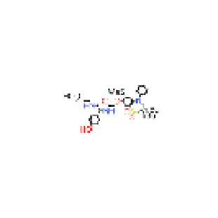 CCCCC1(CCCC)CN(c2ccccc2)c2cc(SC)c(OCC(=O)N[C@@H](C(=O)NCCC(=O)O)c3ccc(O)cc3)cc2S(=O)(=O)C1